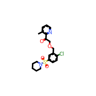 Cc1cccnc1C(=O)COCc1cc(S(=O)(=O)N2CCCCC2)ccc1Cl